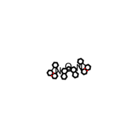 c1ccc(-c2ccccc2N(c2ccccc2)c2cc3oc4cc(N(c5ccccc5)c5ccccc5-c5ccccc5)c5ccccc5c4c3c3ccccc23)cc1